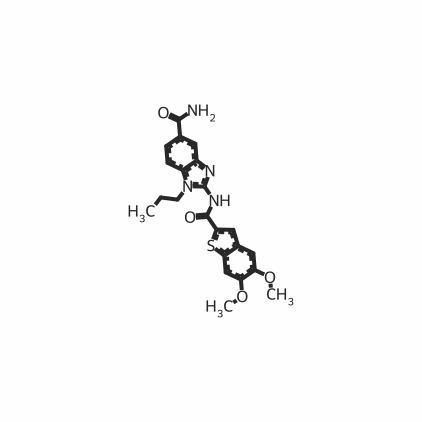 CCCn1c(NC(=O)c2cc3cc(OC)c(OC)cc3s2)nc2cc(C(N)=O)ccc21